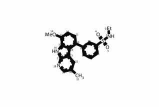 CCNS(=O)(=O)c1cccc(-c2ccc(OC)c3[nH]c4ncc(C)cc4c23)c1